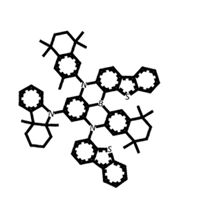 Cc1cc2c(cc1N1c3cc(N4c5ccccc5C5(C)CCCCC45C)cc4c3B(c3cc5c(cc3N4c3cccc4c3sc3ccccc34)C(C)(C)CCC5(C)C)c3c1ccc1c3sc3ccccc31)C(C)(C)CCC2(C)C